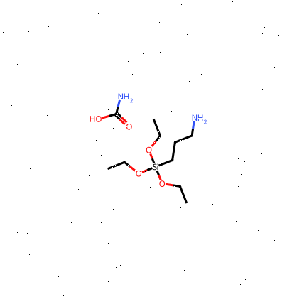 CCO[Si](CCCN)(OCC)OCC.NC(=O)O